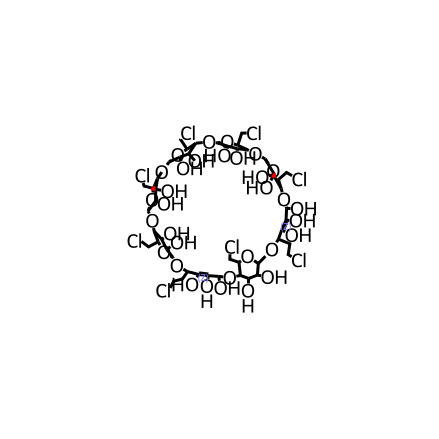 O/C1=C(\O)C(CCCl)OC2OC(CCl)C(OC(O)/C(O)=C(/O)C(CCCl)OC3OC(CCl)C(OC4OC(CCl)C(OC5OC(CCl)C(OC6OC(CCl)C(OC7OC(CCl)C(OC1O)C(O)C7O)C(O)C6O)C(O)C5O)C(O)C4O)C(O)C3O)C(O)C2O